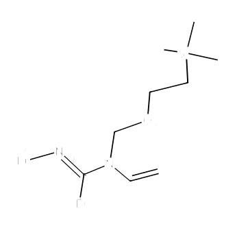 C=CN(COCC[Si](C)(C)C)/C(CC)=N/CC